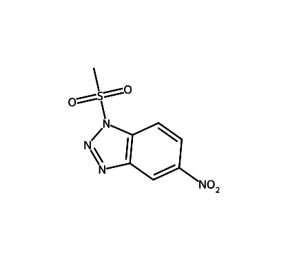 CS(=O)(=O)n1nnc2cc([N+](=O)[O-])ccc21